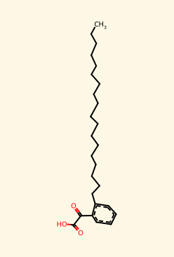 CCCCCCCCCCCCCCCCCCc1ccccc1C(=O)C(=O)O